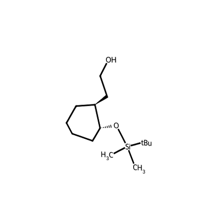 CC(C)(C)[Si](C)(C)O[C@@H]1CCCC[C@H]1CCO